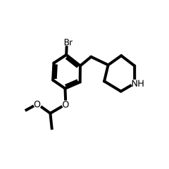 COC(C)Oc1ccc(Br)c(CC2CCNCC2)c1